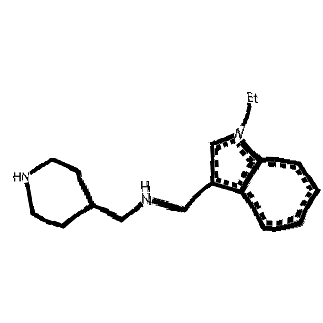 CCn1cc(CNCC2CCNCC2)c2ccccc21